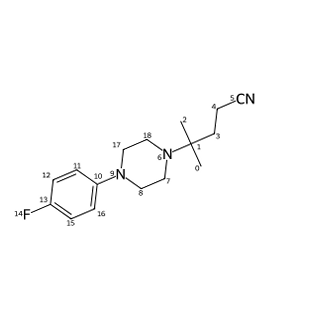 CC(C)(CCC#N)N1CCN(c2ccc(F)cc2)CC1